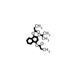 CCC(=O)Oc1cc(OC(C)C)c(OC(=O)CC)c2ccccc12